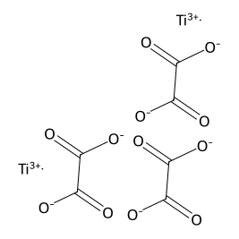 O=C([O-])C(=O)[O-].O=C([O-])C(=O)[O-].O=C([O-])C(=O)[O-].[Ti+3].[Ti+3]